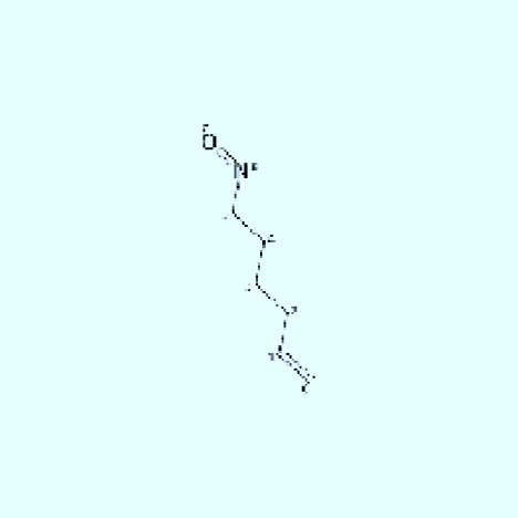 C=CCCCCN=O